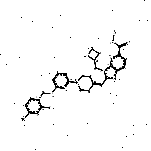 CC(C)(C)OC(=O)c1ccc2nc(C=C3CCN(c4cccc(OCc5ccc(C#N)cc5F)n4)CC3)n(CC3CCO3)c2n1